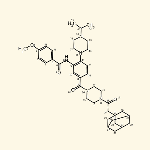 COc1ccc(C(=O)Nc2cc(C(=O)N3CCN(C(=O)CC45CC6CC(CC(C6)C4)C5)CC3)ccc2N2CCN(C(C)C)CC2)cc1